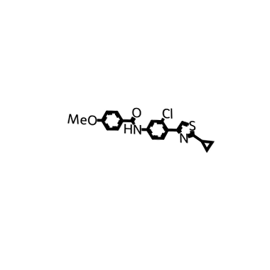 COc1ccc(C(=O)Nc2ccc(-c3csc(C4CC4)n3)c(Cl)c2)cc1